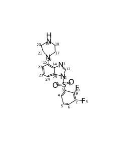 O=S(=O)(c1cccc(F)c1F)n1cnc2c(N3CCNCC3)cccc21